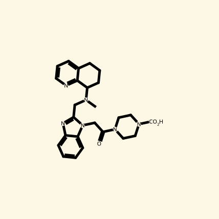 CN(Cc1nc2ccccc2n1CC(=O)N1CCN(C(=O)O)CC1)C1CCCc2cccnc21